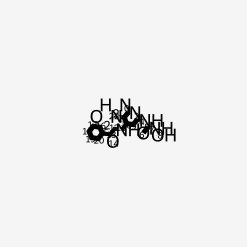 Nc1nc(NC(=O)NO)cc(NCC(=O)c2ccccc2)c1[N+](=O)[O-]